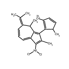 CC(C)=C1C=CC=C2C(=C(C3=C(C)C=CC3C)C(C)=[C]2[Hf]([Cl])[Cl])C1C